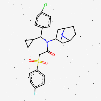 CN1C2CCC1CC(N(C(=O)CS(=O)(=O)c1ccc(F)cc1)C(c1ccc(Cl)cc1)C1CC1)C2